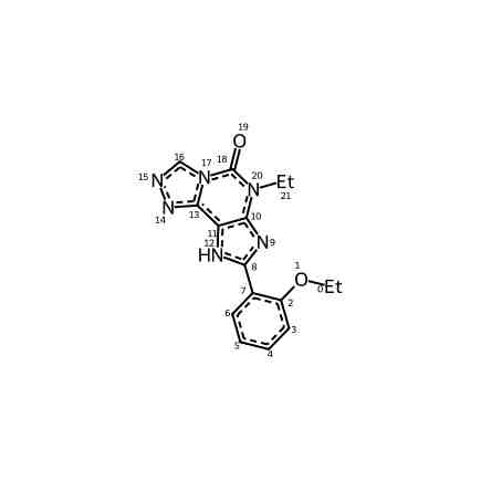 CCOc1ccccc1-c1nc2c([nH]1)c1nncn1c(=O)n2CC